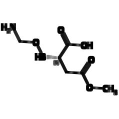 COC(=O)C[C@H](BOCN)C(=O)O